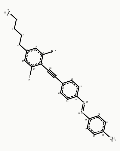 CCCCCc1cc(F)c(C#Cc2ccc(N=Nc3ccc(C)cc3)cc2)c(I)c1